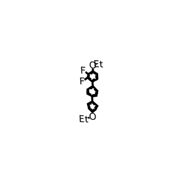 CCOc1ccc(-c2ccc(-c3ccc(OCC)c(F)c3F)cc2)cc1